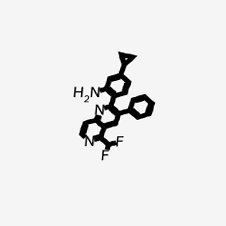 Nc1cc(C2CC2)ccc1-c1nc2ccnc(C(F)F)c2cc1-c1ccccc1